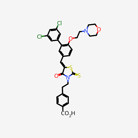 O=C(O)c1ccc(CCN2C(=O)/C(=C/c3ccc(OCCN4CCOCC4)c(-c4cc(Cl)cc(Cl)c4)c3)SC2=S)cc1